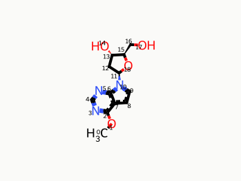 COc1ncnc2c1ccn2[C@H]1C[C@H](O)[C@@H](CO)O1